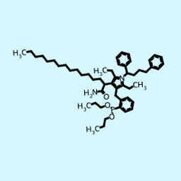 CCCCCCCCCCCCCCC(C(N)=O)c1c(Cc2ccccc2P(OCCC)OCCC)c(CC)n(C(CCCc2ccccc2)c2ccccc2)c1CC